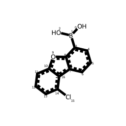 OB(O)c1cccc2c1oc1cccc(Cl)c12